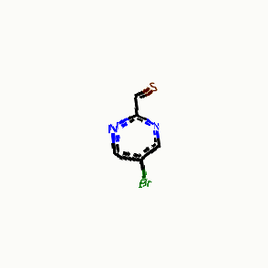 S=Cc1ncc(Br)cn1